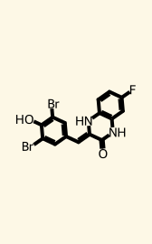 O=C1Nc2cc(F)ccc2NC1=Cc1cc(Br)c(O)c(Br)c1